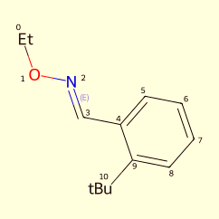 CCO/N=C/c1ccccc1C(C)(C)C